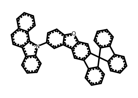 c1ccc2c(c1)-c1ccccc1C21c2ccccc2-c2cc3c(cc21)oc1ccc(-n2c4ccccc4c4ccc5ccccc5c42)cc13